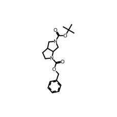 CC(C)(C)OC(=O)N1CC2CCN(C(=O)OCc3ccccc3)C2C1